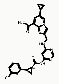 CC(=O)c1cc(C2CC2)cn2cc(CNc3cc(NC(=O)[C@H]4CC4c4cccc(Cl)c4)ncn3)nc12